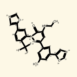 CCNc1cc(-c2cc(C)cc(-c3cnco3)c2)nn(-c2cc(-c3cnco3)ccc2C(F)(F)F)c1=O